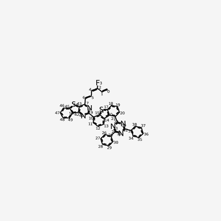 C=C/C(F)=C\C=C\c1nc(-c2cccc3c2sc2cccc(-c4nc(-c5ccccc5)nc(-c5ccccc5)n4)c23)nc2c1sc1ccccc12